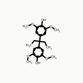 CCC(CC)(c1cc(OC)c(O)c(OC)c1)c1cc(OC)c(O)c(OC)c1